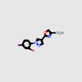 CCOC(=O)c1coc(-c2cnn(-c3ccc(I)cc3Br)c2)n1